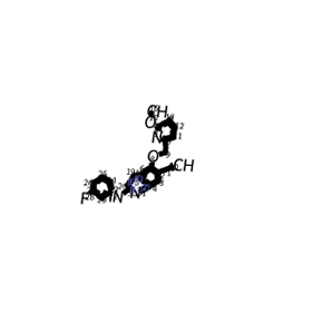 C#Cc1cc2/c(cc1OCc1cccc(OC)n1)=C/C=C/C(Nc1cccc(F)c1)=N\C=2